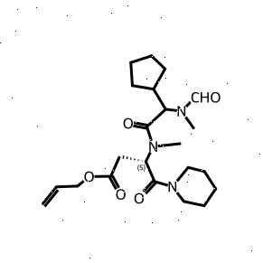 C=CCOC(=O)C[C@@H](C(=O)N1CCCCC1)N(C)C(=O)C(C1CCCC1)N(C)C=O